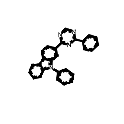 c1ccc(-c2ncnc(-c3ccc4c5ccccc5n(-c5ccccc5)c4c3)n2)cc1